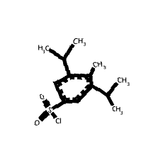 Cc1c(C(C)C)cc(S(=O)(=O)Cl)cc1C(C)C